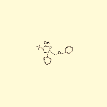 CC(C)(C)N(CC1(c2ccccc2)CC1COCc1ccccc1)C(=O)O